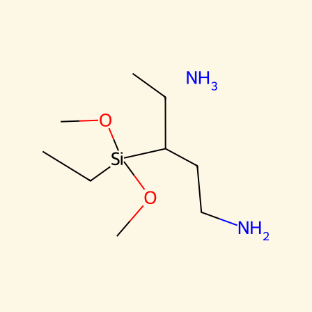 CCC(CCN)[Si](CC)(OC)OC.N